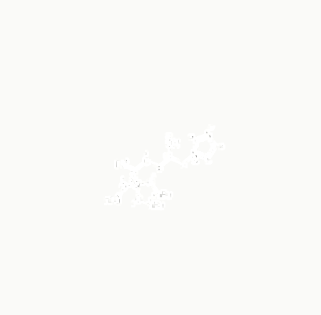 CCCCO[Si](OCCCC)(OCCCC)C(CC)OCC(O)Cn1ccnc1